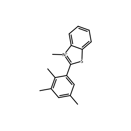 Cc1cc(C)c(C)c(-c2sc3ccccc3[n+]2C)c1